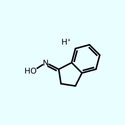 ON=C1CCc2ccccc21.[H+]